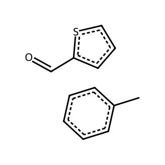 Cc1ccccc1.O=Cc1cccs1